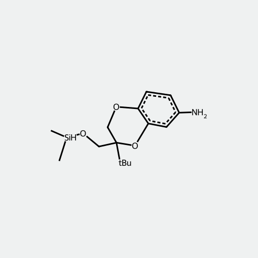 C[SiH](C)OCC1(C(C)(C)C)COc2ccc(N)cc2O1